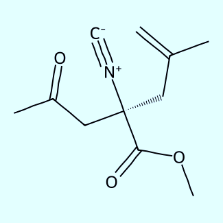 [C-]#[N+][C@](CC(=C)C)(CC(C)=O)C(=O)OC